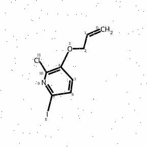 C=CCOc1ccc(I)nc1Cl